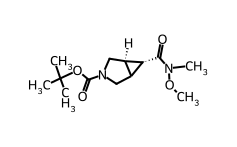 CON(C)C(=O)[C@@H]1C2CN(C(=O)OC(C)(C)C)C[C@H]21